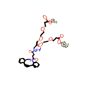 CC(C)(C)OC(=O)CCOCCOCC(CNC(=O)CCC(=O)N1Cc2ccccc2C#Cc2ccccc21)OCCOCCC(=O)OC(C)(C)C